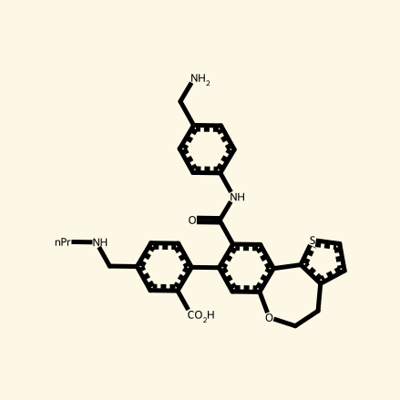 CCCNCc1ccc(-c2cc3c(cc2C(=O)Nc2ccc(CN)cc2)-c2sccc2CCO3)c(C(=O)O)c1